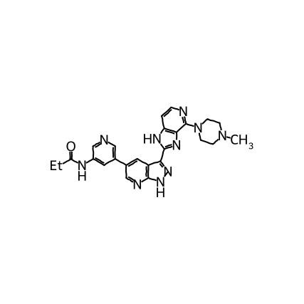 CCC(=O)Nc1cncc(-c2cnc3[nH]nc(-c4nc5c(N6CCN(C)CC6)nccc5[nH]4)c3c2)c1